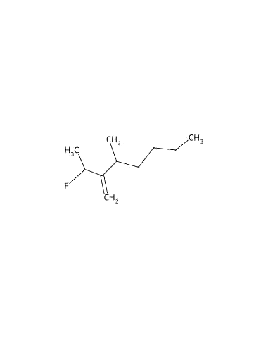 C=C(C(C)F)C(C)CCCC